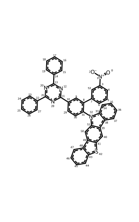 O=[N+]([O-])c1cccc(-c2cc(-c3nc(-c4ccccc4)nc(-c4ccccc4)n3)ccc2-n2c3ccccc3c3cc4sc5ccccc5c4cc32)c1